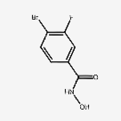 O=C(NO)c1ccc(Br)c(F)c1